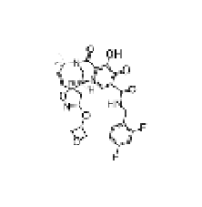 C[C@H]1C=C[C@]2(CC(OC3COC3)=NO2)[C@H]2CN1C(=O)c1c(O)c(=O)c(C(=O)NCc3ccc(F)cc3F)cn12